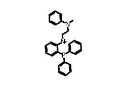 CN(CCN(C)c1ccccc1P(c1ccccc1)c1ccccc1)c1ccccc1